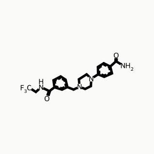 NC(=O)c1ccc(N2CCN(Cc3cccc(C(=O)NCC(F)(F)F)c3)CC2)cc1